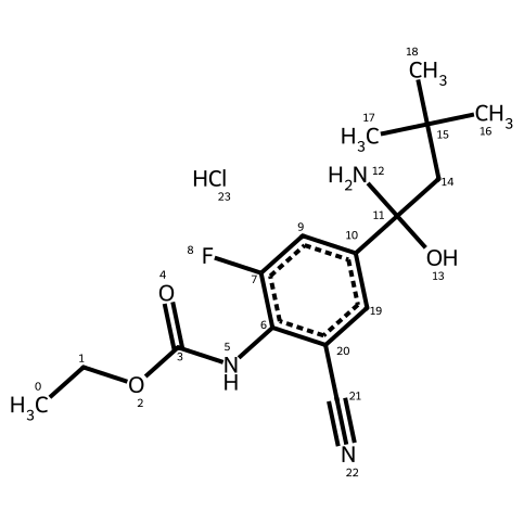 CCOC(=O)Nc1c(F)cc(C(N)(O)CC(C)(C)C)cc1C#N.Cl